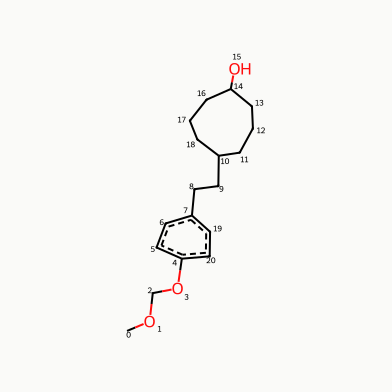 COCOc1ccc(CCC2CCCC(O)CCC2)cc1